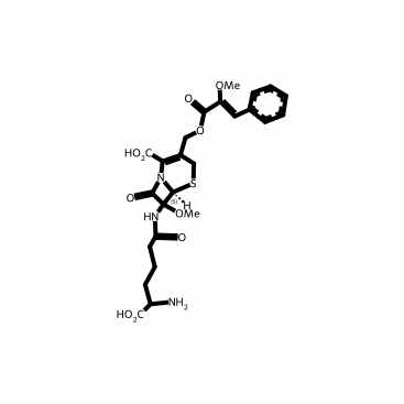 COC(=Cc1ccccc1)C(=O)OCC1=C(C(=O)O)N2C(=O)C(NC(=O)CCCC(N)C(=O)O)(OC)[C@@H]2SC1